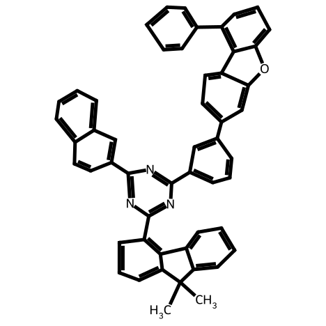 CC1(C)c2ccccc2-c2c(-c3nc(-c4cccc(-c5ccc6c(c5)oc5cccc(-c7ccccc7)c56)c4)nc(-c4ccc5ccccc5c4)n3)cccc21